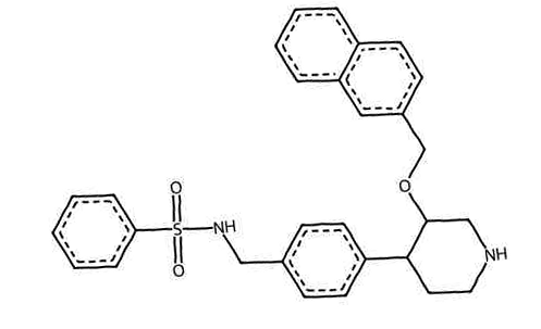 O=S(=O)(NCc1ccc(C2CCNCC2OCc2ccc3ccccc3c2)cc1)c1ccccc1